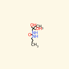 CCCCNC(=O)NCC(CC)(CO)CO